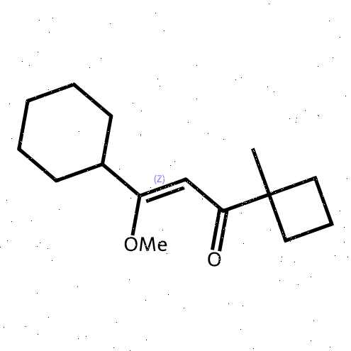 CO/C(=C\C(=O)C1(C)CCC1)C1CCCCC1